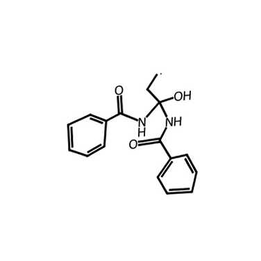 [CH2]CC(O)(NC(=O)c1ccccc1)NC(=O)c1ccccc1